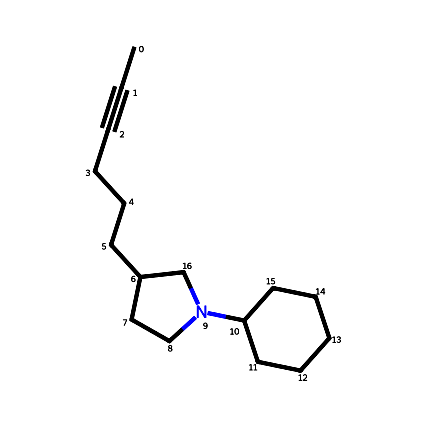 CC#CCCCC1CCN(C2CCCCC2)C1